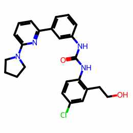 O=C(Nc1cccc(-c2cccc(N3CCCC3)n2)c1)Nc1ccc(Cl)cc1CCO